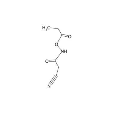 CCC(=O)ONC(=O)CC#N